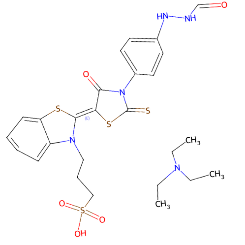 CCN(CC)CC.O=CNNc1ccc(N2C(=O)/C(=C3\Sc4ccccc4N3CCCS(=O)(=O)O)SC2=S)cc1